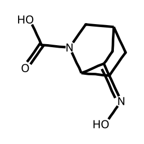 O=C(O)N1CC2CCC1C(=NO)C2